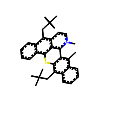 Cc1c2c(c(CC(C)(C)C)c3ccccc13)Sc1c3ccccc3c(CC(C)(C)C)c3cc[n+](C)c-2c13